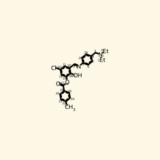 CCN(CC)Cc1ccc(N=Cc2cc(Cl)cc(OC(=O)c3ccc(C)cc3)c2O)cc1